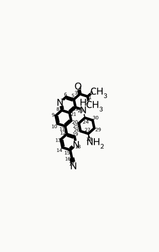 CC(C)C(=O)c1cnc2ccc(-c3ccc(C#N)nc3)cc2c1N[C@H]1CC[C@H](N)CC1